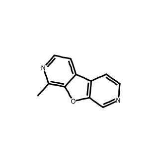 Cc1nccc2c1oc1cnccc12